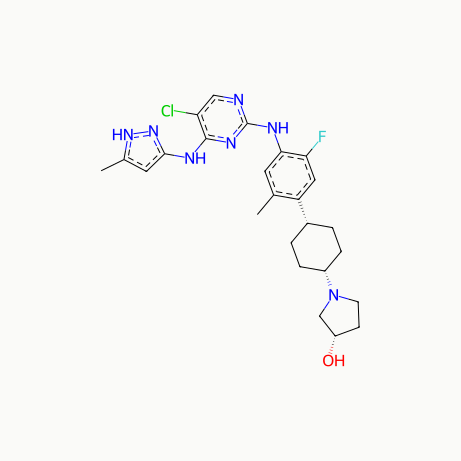 Cc1cc(Nc2nc(Nc3cc(C)c([C@H]4CC[C@@H](N5CC[C@H](O)C5)CC4)cc3F)ncc2Cl)n[nH]1